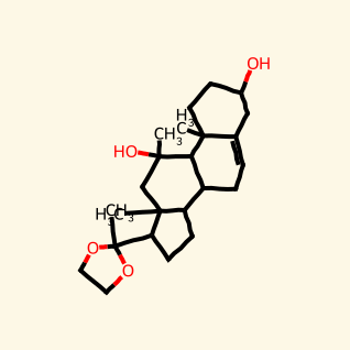 CC1(O)CC2(C)C(CCC2C2(C)OCCO2)C2CC=C3CC(O)CCC3(C)C21